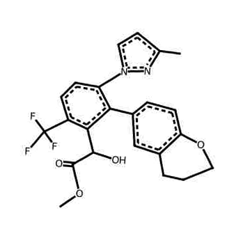 COC(=O)C(O)c1c(C(F)(F)F)ccc(-n2ccc(C)n2)c1-c1ccc2c(c1)CCCO2